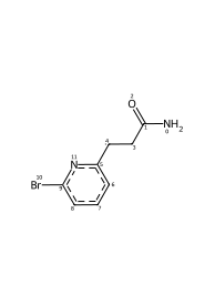 NC(=O)C[CH]c1cccc(Br)n1